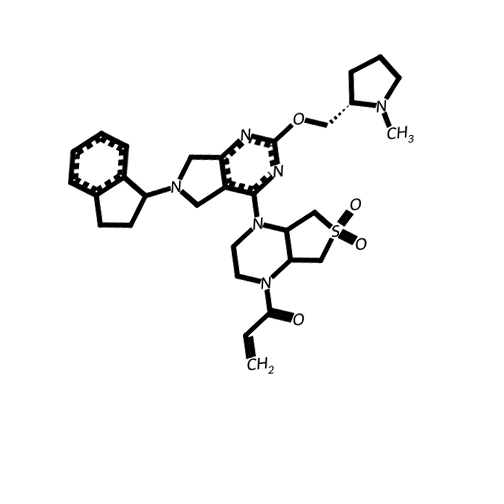 C=CC(=O)N1CCN(c2nc(OC[C@@H]3CCCN3C)nc3c2CN(C2CCc4ccccc42)C3)C2CS(=O)(=O)CC21